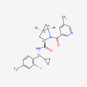 O=C(N[C@@H](c1ccc(C(F)(F)F)cc1F)C1CC1)[C@H]1C[C@H]2C[C@H]2N1C(=O)c1cncc(C(F)(F)F)c1